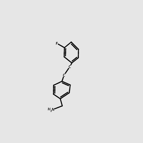 NCc1ccc(CCc2cccc(F)c2)cc1